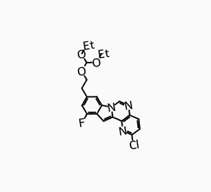 CCOC(OCC)OCCc1cc(F)c2cc3c4nc(Cl)ccc4ncn3c2c1